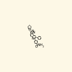 NC1(c2ccc(-c3nc4ccn5c(CN6CC[CH]CC6)nnc5c4cc3-c3ccccc3)cc2)CCC1